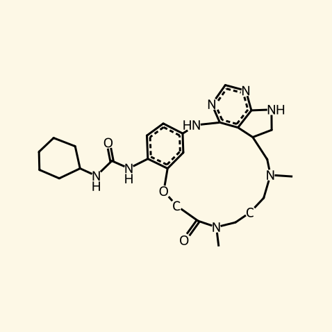 CN1CCCN(C)C(=O)COc2cc(ccc2NC(=O)NC2CCCCC2)Nc2ncnc3c2C(CN3)C1